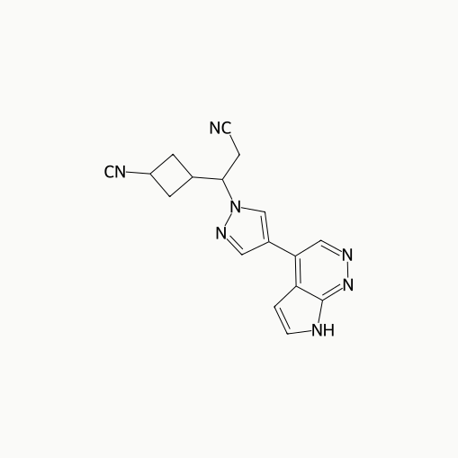 [C-]#[N+]C1CC(C(CC#N)n2cc(-c3cnnc4[nH]ccc34)cn2)C1